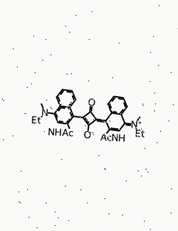 CCN(C)c1cc(NC(C)=O)c(C2=C([O-])/C(=C3C(NC(C)=O)=C/C(=[N+](/C)CC)c4ccccc4\3)C2=O)c2ccccc12